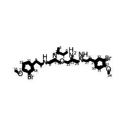 CC/C(C)=N\C(=C/NCCc1ccc(OC)c(Br)c1)COC/C(N)=C/N(N)CCc1ccc(OC)c(Br)c1